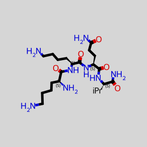 CC(C)[C@H](NC(=O)[C@H](CCC(N)=O)NC(=O)[C@H](CCCCN)NC(=O)[C@@H](N)CCCCN)C(N)=O